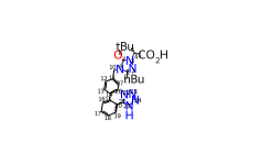 CCCCc1nn(C(C(=O)O)C(C)(C)C)c(=O)n1Cc1ccc(-c2ccccc2-c2nnn[nH]2)cc1